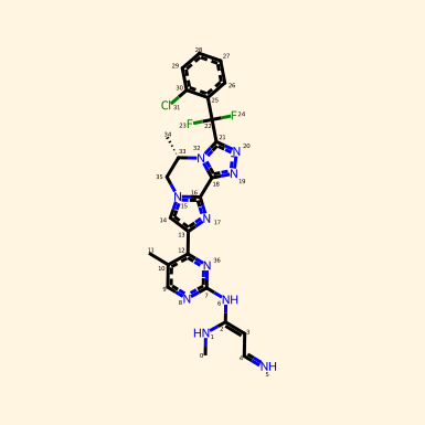 CN/C(=C\C=N)Nc1ncc(C)c(-c2cn3c(n2)-c2nnc(C(F)(F)c4ccccc4Cl)n2[C@@H](C)C3)n1